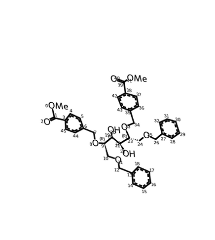 COC(=O)c1ccc(CO[C@H](COCc2ccccc2)[C@@H](O)[C@H](O)[C@@H](COCc2ccccc2)OCc2ccc(C(=O)OC)cc2)cc1